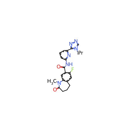 CC(C)n1cnnc1-c1cccc(NC(=O)c2cc3c(cc2F)CCCC(=O)N3C)n1